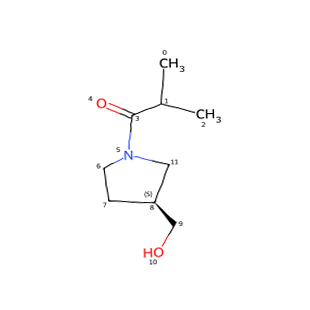 CC(C)C(=O)N1CC[C@H](CO)C1